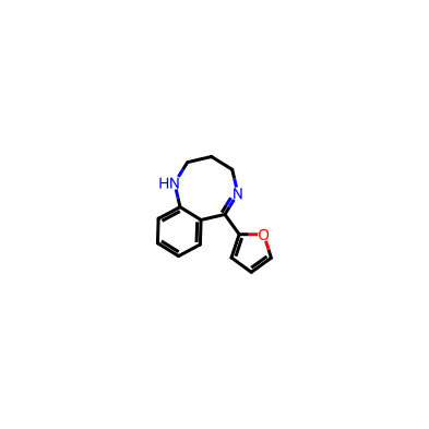 c1coc(C2=NCCCNc3ccccc32)c1